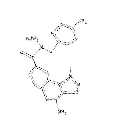 CC(=O)NN(Cc1ccc(C(F)(F)F)cn1)C(=O)c1ccc2nc(N)c3cnn(C)c3c2c1